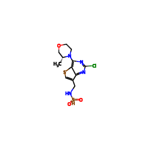 C[C@@H]1COCCN1c1nc(Cl)nc2c(CN[SH](=O)=O)csc12